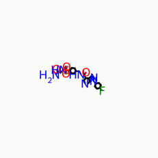 NC(=O)CNS(=O)(=O)c1ccc(CNC(=O)c2cncc3c2cnn3-c2ccc(F)cc2)cc1